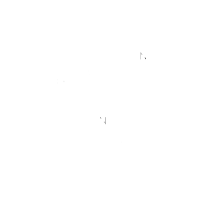 O=C1CC=N[C]=C1N1CCCC1